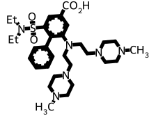 CCN(CC)S(=O)(=O)c1cc(C(=O)O)cc(N(CCN2CCN(C)CC2)CCN2CCN(C)CC2)c1-c1ccccc1